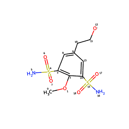 COc1c(S(N)(=O)=O)cc(CC[O])cc1S(N)(=O)=O